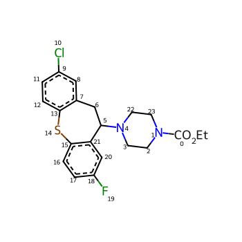 CCOC(=O)N1CCN(C2Cc3cc(Cl)ccc3Sc3ccc(F)cc32)CC1